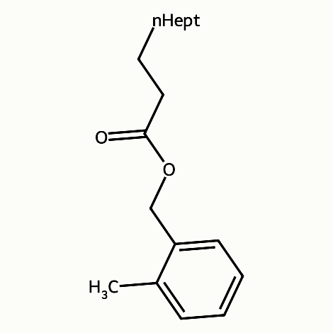 CCCCCCCCCC(=O)OCc1ccccc1C